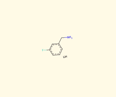 NCc1c[c]cc(F)c1.[LiH]